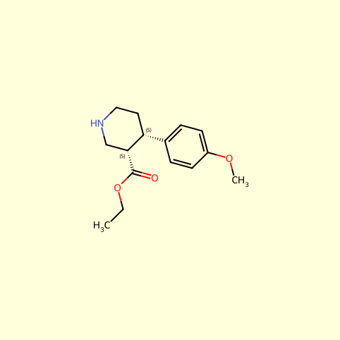 CCOC(=O)[C@@H]1CNCC[C@@H]1c1ccc(OC)cc1